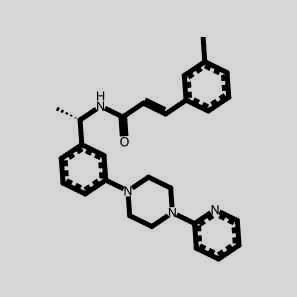 Cc1cccc(C=CC(=O)N[C@@H](C)c2cccc(N3CCN(c4ccccn4)CC3)c2)c1